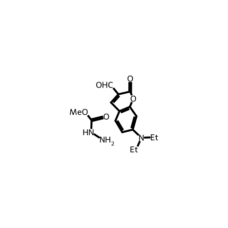 CCN(CC)c1ccc2cc(C=O)c(=O)oc2c1.COC(=O)NN